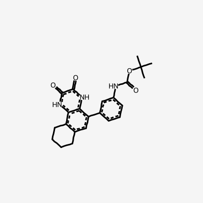 CC(C)(C)OC(=O)Nc1cccc(-c2cc3c(c4[nH]c(=O)c(=O)[nH]c24)CCCC3)c1